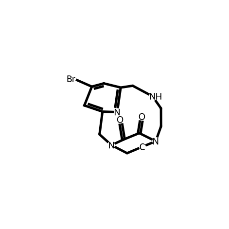 O=C1C(=O)N2CCN1CCNCc1cc(Br)cc(n1)C2